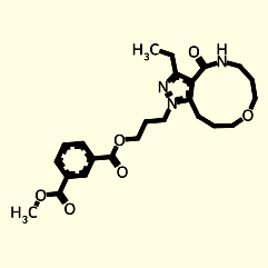 CCc1nn(CCCOC(=O)c2cccc(C(=O)OC)c2)c2c1C(=O)NCCCOCCC2